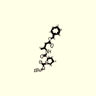 CC(CC(=O)OCc1ccccc1)NC(=O)[C@@H]1CCCN1C(=O)OC(C)(C)C